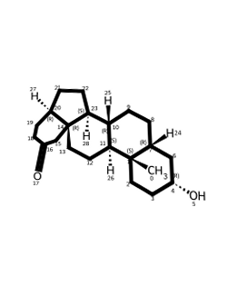 C[C@]12CC[C@@H](O)C[C@H]1CC[C@@H]1[C@@H]2CC[C@@]23CC(=O)CC[C@H]2CC[C@@H]13